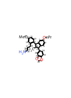 CCCOc1ccc2c(c1)C(c1ccc(OC)cc1CCCN)C(C(=O)O)C2c1ccc2c(c1)OCO2